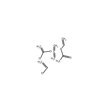 C=C(Cl)Cl.C=C=C.C=CCl.C=COC(C)=O